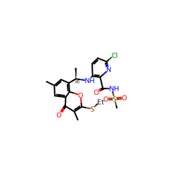 CCSc1oc2c([C@@H](C)Nc3ccc(Cl)nc3C(=O)NS(C)(=O)=O)cc(C)cc2c(=O)c1C